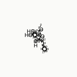 CCOC(=O)COC(=O)[C@@H](NC(C)CCc1ccccc1)C(O)c1ccc(O)c(O)c1